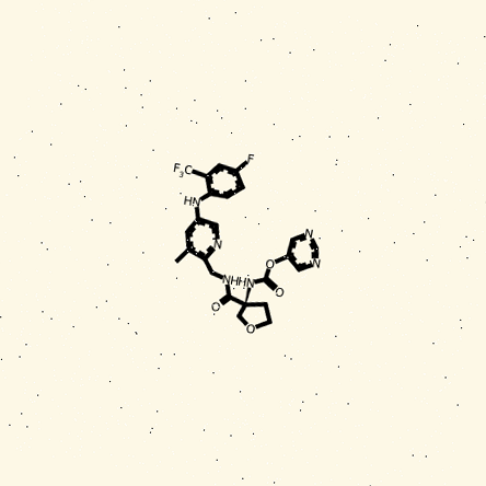 Cc1cc(Nc2ccc(F)cc2C(F)(F)F)cnc1CNC(=O)[C@]1(NC(=O)Oc2cncnc2)CCOC1